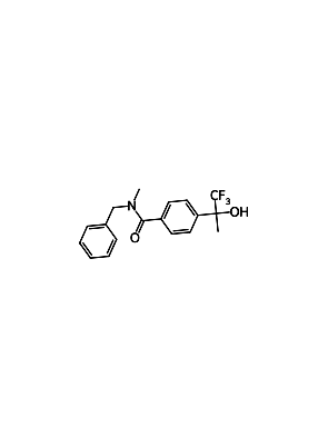 CN(Cc1ccccc1)C(=O)c1ccc(C(C)(O)C(F)(F)F)cc1